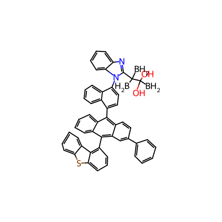 BC(O)(O)C(B)(B)c1nc2ccccc2n1-c1ccc(-c2c3ccccc3c(-c3cccc4sc5ccccc5c34)c3cc(-c4ccccc4)ccc23)c2ccccc12